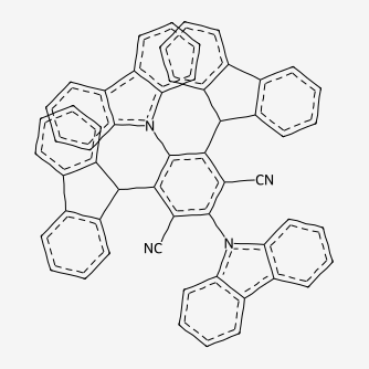 N#Cc1c(C2c3ccccc3-c3ccccc32)c(-n2c3ccccc3c3ccccc32)c(C2c3ccccc3-c3ccccc32)c(C#N)c1-n1c2ccccc2c2ccccc21